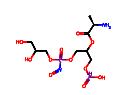 C[C@@H](N)C(=O)OC(CO[PH](=O)O)COP(=O)(N=O)OCC(O)CO